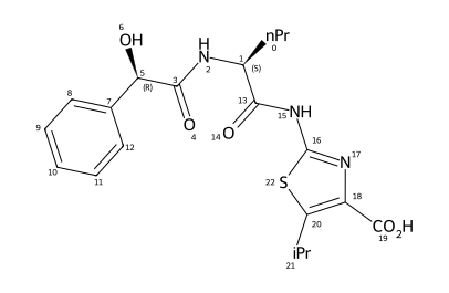 CCC[C@H](NC(=O)[C@H](O)c1ccccc1)C(=O)Nc1nc(C(=O)O)c(C(C)C)s1